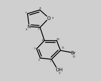 Oc1ccc(-c2ncco2)cc1Br